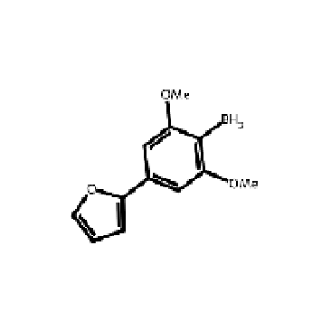 Bc1c(OC)cc(-c2ccco2)cc1OC